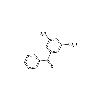 O=C(O)c1cc(C(=O)c2ccccc2)cc([N+](=O)[O-])c1